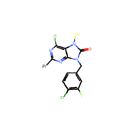 CC(C)c1nc(Cl)c2c(n1)n(Cc1ccc(Cl)c(F)c1)c(=O)n2S